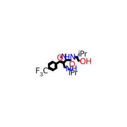 CC(C)NCc1c(C(=O)N[C@@H](CO)C(C)C)noc1-c1ccc(C(F)(F)F)cc1